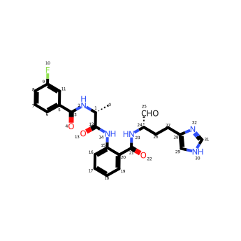 C[C@@H](NC(=O)c1cccc(F)c1)C(=O)Nc1ccccc1C(=O)N[C@H](C=O)CCc1c[nH]cn1